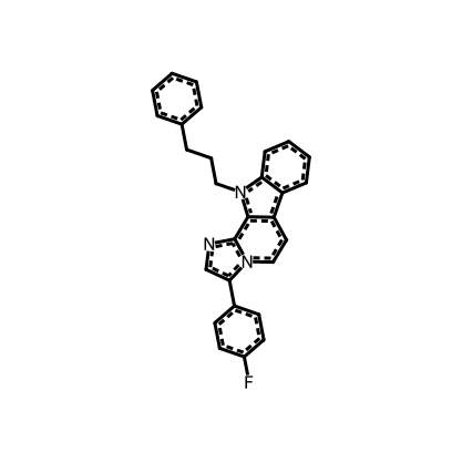 Fc1ccc(-c2cnc3c4c(ccn23)c2ccccc2n4CCCc2ccccc2)cc1